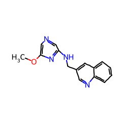 COc1cncc(NCc2cnc3ccccc3c2)n1